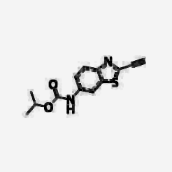 C#Cc1nc2ccc(NC(=O)OC(C)C)cc2s1